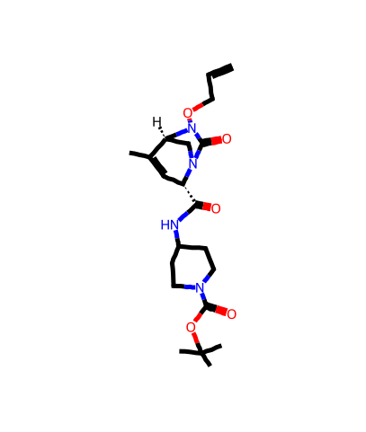 C=CCON1C(=O)N2C[C@H]1C(C)=C[C@H]2C(=O)NC1CCN(C(=O)OC(C)(C)C)CC1